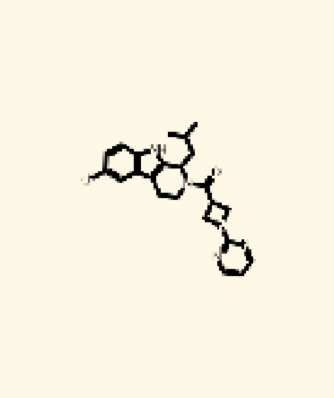 CC(C)CC1c2[nH]c3ccc(Cl)cc3c2CCN1C(=O)C1CN(c2ncccn2)C1